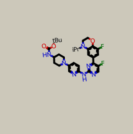 CC(C)N1CCOc2c(F)cc(-c3nc(Nc4ccc(N5CCC(NC(=O)OC(C)(C)C)CC5)cn4)ncc3F)cc21